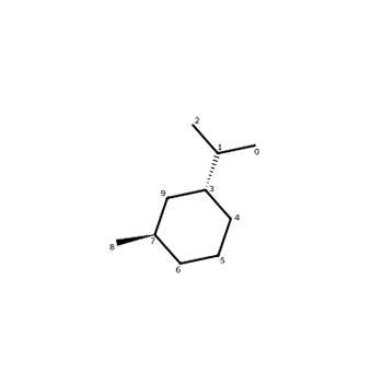 CC(C)[C@@H]1CCC[C@@H](C)C1